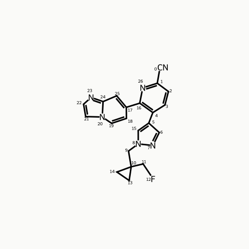 N#Cc1ccc(-c2cnn(CC3(CF)CC3)c2)c(-c2ccn3ccnc3c2)n1